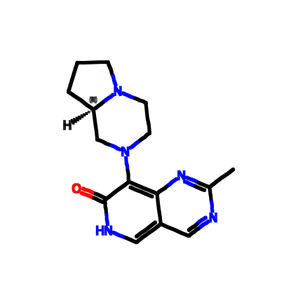 Cc1ncc2c[nH]c(=O)c(N3CCN4CCC[C@@H]4C3)c2n1